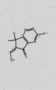 CC1(C)/C(=C/O)C(=O)c2cc(F)ccc21